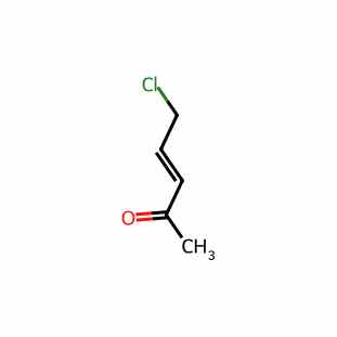 CC(=O)C=CCCl